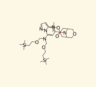 CC(C)(C)OC(=O)N1C2COCC1CC(c1cc(N(COCC[Si](C)(C)C)COCC[Si](C)(C)C)n3nccc3n1)C2